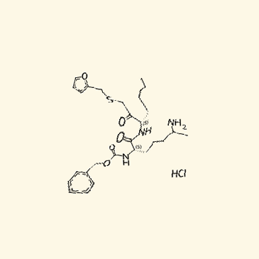 CCCC[C@H](NC(=O)[C@H](CCCC(C)N)NC(=O)OCc1ccccc1)C(=O)CSCc1ccco1.Cl